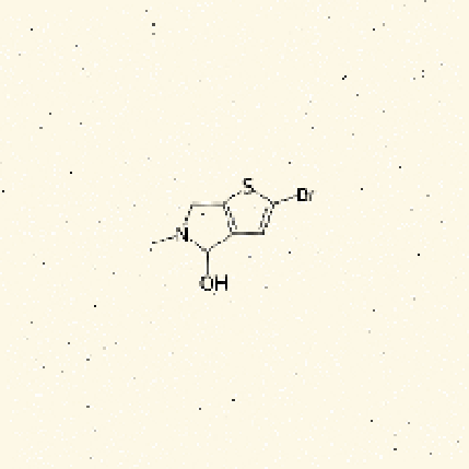 CN1Cc2sc(Br)cc2C1O